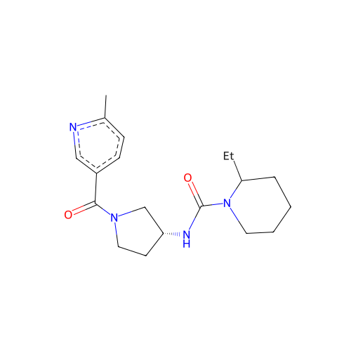 CCC1CCCCN1C(=O)N[C@@H]1CCN(C(=O)c2ccc(C)nc2)C1